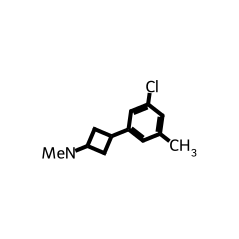 CNC1CC(c2cc(C)cc(Cl)c2)C1